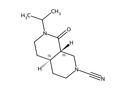 CC(C)N1CC[C@@H]2CCN(C#N)C[C@H]2C1=O